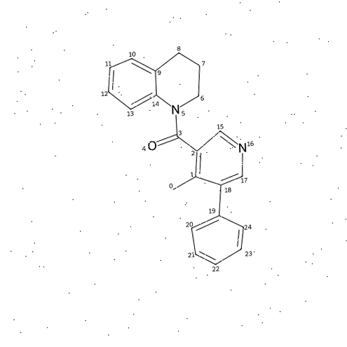 Cc1c(C(=O)N2CCCc3ccccc32)cncc1-c1ccccc1